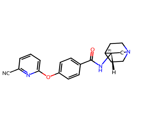 N#Cc1cccc(Oc2ccc(C(=O)N[C@H]3CN4CCC3CC4)cc2)n1